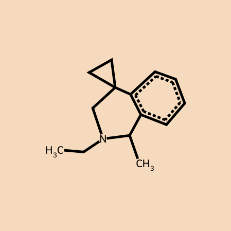 CCN1CC2(CC2)c2ccccc2C1C